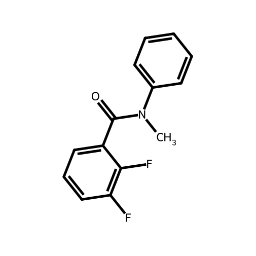 CN(C(=O)c1cccc(F)c1F)c1ccccc1